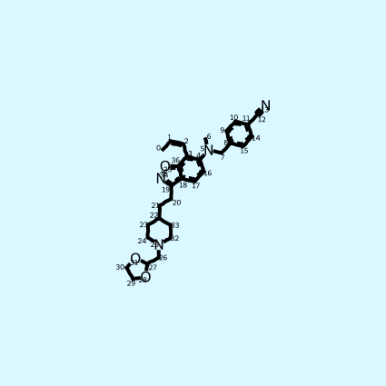 C/C=C\c1c(N(C)Cc2ccc(C#N)cc2)ccc2c(CCC3CCN(CC4OCCO4)CC3)noc12